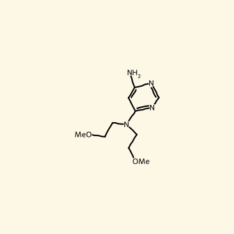 COCCN(CCOC)c1cc(N)ncn1